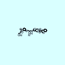 O=S(=O)(CCCO)c1cccc(OCC(O)CN[C@H]2COC3(CCN(S(=O)(=O)c4cnc5ccccc5c4)CC3)C2)c1